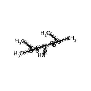 CCCCCCCOC(CCC(=O)OCCCCN(CCCCOC(=O)CCC(OCCCCCCC)OCCCCCCC)CCOCCO)OCCCCCCC